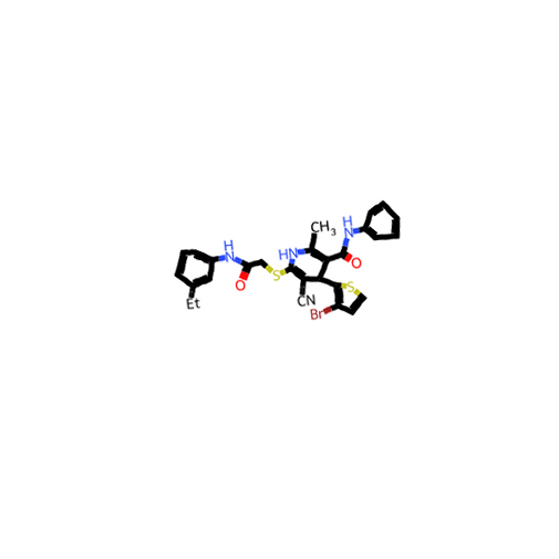 CCc1cccc(NC(=O)CSC2=C(C#N)C(c3sccc3Br)C(C(=O)Nc3ccccc3)=C(C)N2)c1